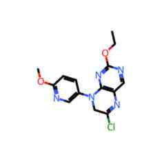 CCOc1ncc2c(n1)N(c1ccc(OC)nc1)CC(Cl)=N2